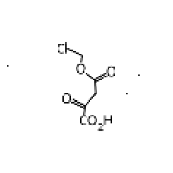 O=C(CC(=O)C(=O)O)OCCl